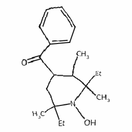 CCC1(C)CC(C(=O)c2ccccc2)C(C)C(C)(CC)N1O